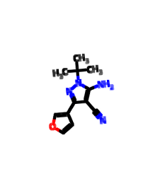 CC(C)(C)n1nc(-c2ccoc2)c(C#N)c1N